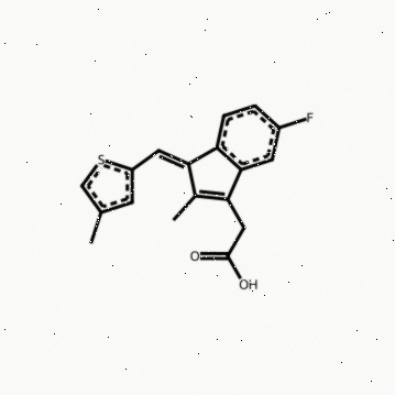 CC1=C(CC(=O)O)c2cc(F)ccc2C1=Cc1cc(C)cs1